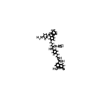 Cl.Cl.N[C@H]1CC[C@H](N(C(=O)O)c2cc(CCCC(=O)Nc3ccc(CCNC[C@H](O)c4ccc(O)c5[nH]c(=O)ccc45)cc3)ccc2-c2ccccc2)CC1